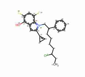 CCC(Cl)CCCCC(Cn1c(C2=CC2)cc2c(O)c(F)cc(F)c21)c1ccccc1